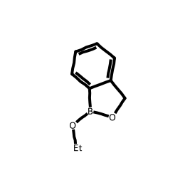 CCOB1OCc2ccccc21